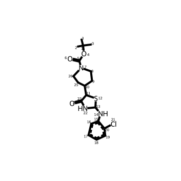 CC(C)(C)OC(=O)N1CCC(C2SC(Nc3ccccc3Cl)NC2=O)CC1